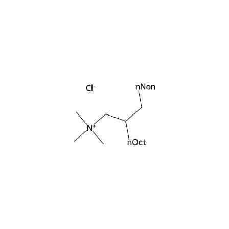 CCCCCCCCCCC(CCCCCCCC)C[N+](C)(C)C.[Cl-]